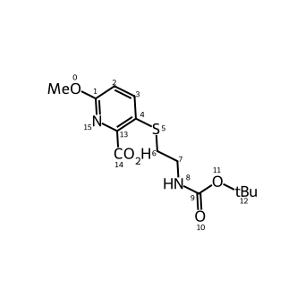 COc1ccc(SCCNC(=O)OC(C)(C)C)c(C(=O)O)n1